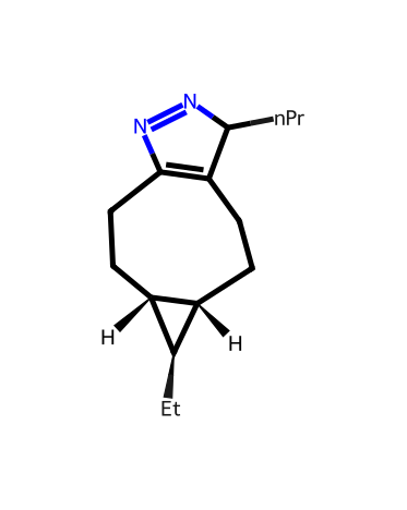 CCCC1N=NC2=C1CC[C@@H]1[C@@H](CC)[C@@H]1CC2